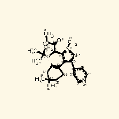 COC(=O)C(OC(C)(C)C)c1c(C2=CCC(C)(C)CC2)c(-c2ccncc2)nn1C